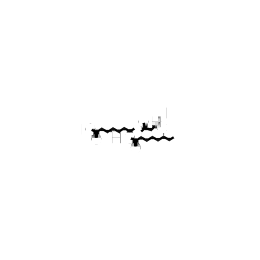 CC(O)CCO.CCCCCCCC(=O)O.CCCCCCCC(=O)O